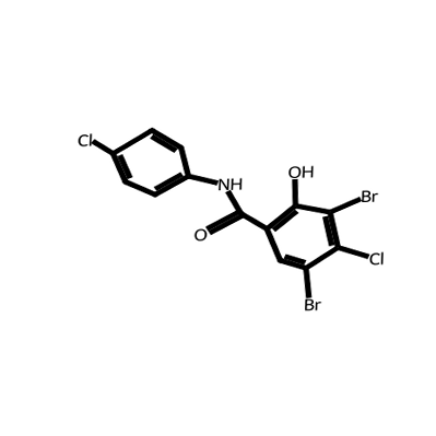 O=C(Nc1ccc(Cl)cc1)c1cc(Br)c(Cl)c(Br)c1O